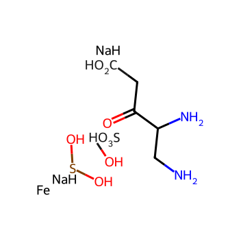 NCC(N)C(=O)CC(=O)O.O=S(=O)(O)O.OSO.[Fe].[NaH].[NaH]